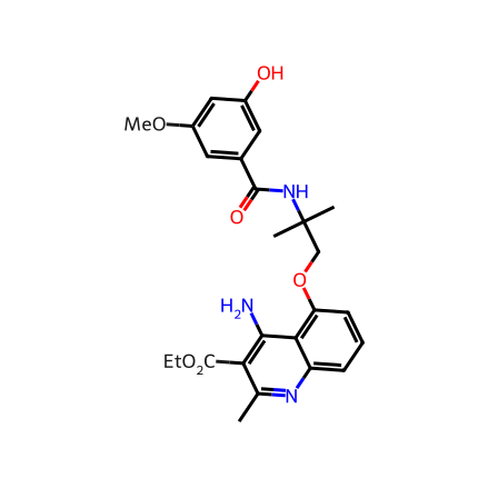 CCOC(=O)c1c(C)nc2cccc(OCC(C)(C)NC(=O)c3cc(O)cc(OC)c3)c2c1N